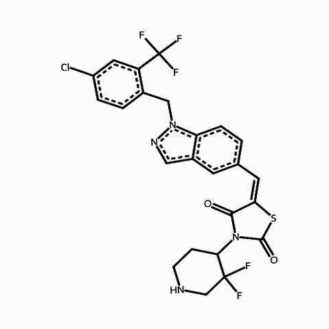 O=C1SC(=Cc2ccc3c(cnn3Cc3ccc(Cl)cc3C(F)(F)F)c2)C(=O)N1C1CCNCC1(F)F